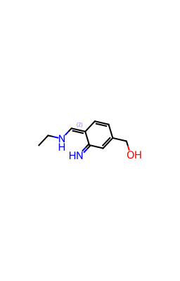 CCN/C=C1/C=CC(CO)=CC1=N